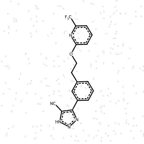 N#Cc1[nH]nnc1-c1cccc(CCOc2cccc(C(F)(F)F)n2)c1